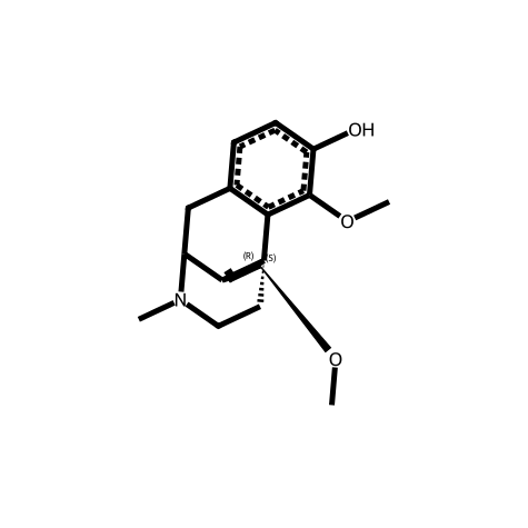 COc1c(O)ccc2c1[C@]13CCN(C)C(C2)C1C=C[C@H](OC)C3